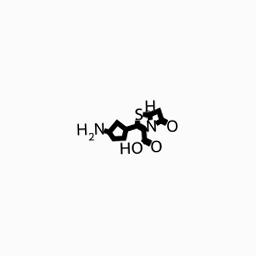 NC1CCC(C2=C(C(=O)O)N3C(=O)C[C@H]3S2)C1